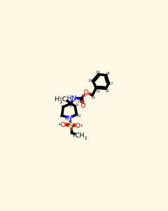 CCS(=O)(=O)N1CCC(C)(NC(=O)OCc2ccccc2)CC1